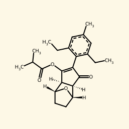 CCc1cc(C)cc(CC)c1C1=C(OC(=O)C(C)C)[C@H]2[C@@H](C1=O)[C@@H]1CC[C@H]2O1